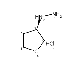 Cl.NN[C@@H]1CCOC1